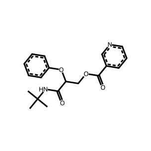 CC(C)(C)NC(=O)C(COC(=O)c1cccnc1)Oc1ccccc1